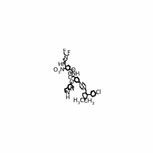 CC1(C)CCC(CN2CCN(c3ccc(C(=O)NS(=O)(=O)c4ccc(NC5CN(C(CF)CF)C5)c([N+](=O)[O-])c4)c(Oc4cnc5[nH]ccc5c4)c3)CC2)=C(c2ccc(Cl)cc2)C1